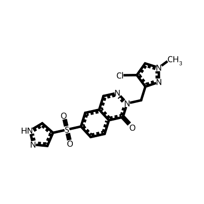 Cn1cc(Cl)c(Cn2ncc3cc(S(=O)(=O)c4cn[nH]c4)ccc3c2=O)n1